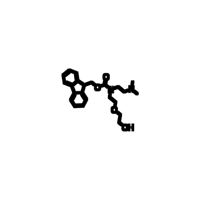 CN(C)CCN(CCOCCO)C(=O)OCC1c2ccccc2-c2ccccc21